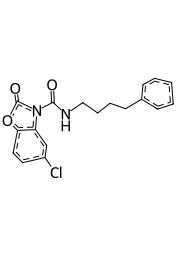 O=C(NCCCCc1ccccc1)n1c(=O)oc2ccc(Cl)cc21